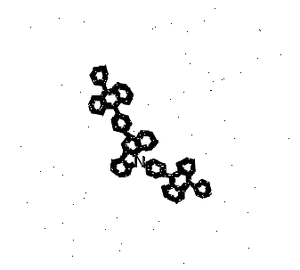 c1ccc(-c2c3ccccc3c(-c3ccc(-c4cc5c6ccccc6n(-c6ccc(-c7c8ccccc8c(-c8ccccc8)c8ccccc78)cc6)c5c5ccccc45)cc3)c3ccccc23)cc1